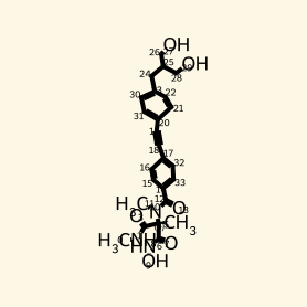 CNC(=O)[C@@](C)(C(=O)NO)N(C)C(=O)c1ccc(C#Cc2ccc(CC(CO)CO)cc2)cc1